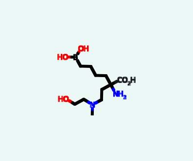 CN(CCO)CCC(N)(CCCCB(O)O)C(=O)O